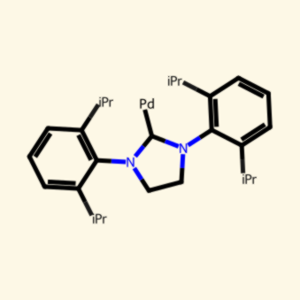 CC(C)c1cccc(C(C)C)c1N1CCN(c2c(C(C)C)cccc2C(C)C)[CH]1[Pd]